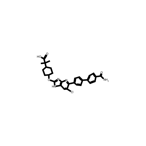 CC(C)(C(=O)O)C1CCC(Oc2nc3nc(-c4ccc(-c5ccc(C(N)=O)cc5)cc4)c(Cl)cc3[nH]2)CC1